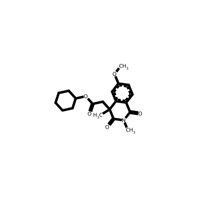 COc1ccc2c(c1)C(C)(CC(=O)OC1CCCCC1)C(=O)N(C)C2=O